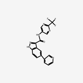 O=C(Nc1cnc(C(F)(F)F)nc1)c1n[nH]c2ccc(-c3cccnc3)cc12